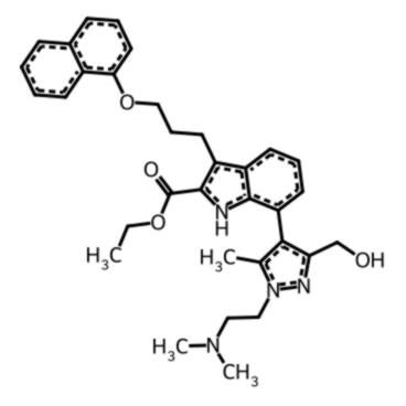 CCOC(=O)c1[nH]c2c(-c3c(CO)nn(CCN(C)C)c3C)cccc2c1CCCOc1cccc2ccccc12